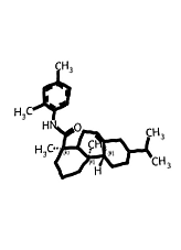 Cc1ccc(NC(=O)[C@]2(C)CCC[C@@]3(C)C2CC=C2CC(C(C)C)CC[C@@H]23)c(C)c1